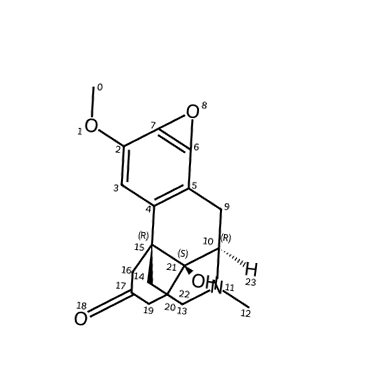 COc1cc2c(c3c1O3)C[C@H]1N(C)CC[C@@]23CC(=O)CC[C@@]13O